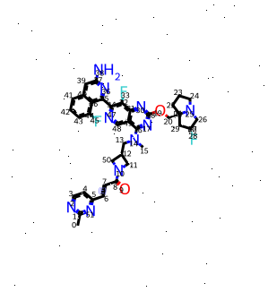 Cc1nccc(/C=C/C(=O)N2CC(CN(C)c3nc(OC[C@@]45CCCN4C[C@H](F)C5)nc4c(F)c(-c5nc(N)cc6cccc(F)c56)ncc34)C2)n1